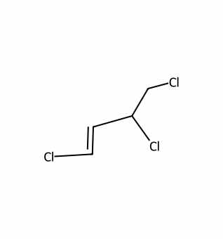 ClC=CC(Cl)CCl